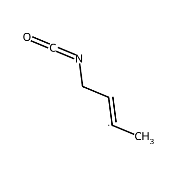 C[C]=CCN=C=O